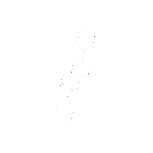 O=c1cc(-c2ccccc2O)[nH]c2ccc(N3CCOCC3)cc12